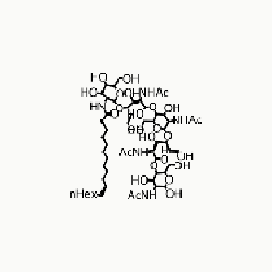 CCCCCC/C=C\CCCCCCCCCC(=O)NC1C(O[C@@H](CCO)/C(O)=C(/NC(C)=O)C(O)OC2C(CO)OC(OC(CCO)/C(O)=C(/NC(C)=O)C(O)OC3C(CO)OC(O)C(NC(C)=O)C3O)C(NC(C)=O)C2O)OC(CO)C(O)C1O